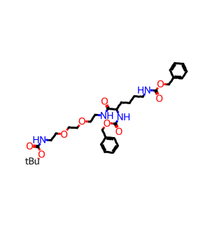 CC(C)(C)OC(=O)NCCOCCOCCNC(=O)C(CCCCNC(=O)OCc1ccccc1)NC(=O)OCc1ccccc1